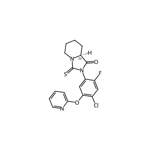 O=C1[C@@H]2CCCCN2C(=S)N1c1cc(Oc2ccccn2)c(Cl)cc1F